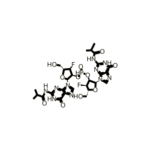 CC(C)C(=O)Nc1nc2c(ncn2[C@@H]2O[C@H](CO)[C@@H](F)[C@H]2O[PH](=O)O[C@@H]2[C@H](F)[C@@H](CO)O[C@H]2n2cnc3c(=O)[nH]c(NC(=O)C(C)C)nc32)c(=O)[nH]1